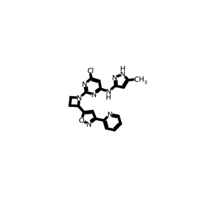 Cc1cc(Nc2cc(Cl)nc(N3CCC3c3cc(-c4ccccn4)no3)n2)n[nH]1